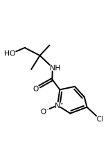 CC(C)(CO)NC(=O)c1ccc(Cl)c[n+]1[O-]